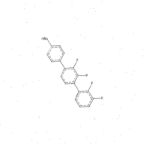 CCCCc1ccc(-c2ccc(-c3cccc(F)c3F)c(F)c2F)cc1